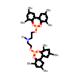 CCN(CCOp1oc2c(C(C)(C)C)cc(C(C)(C)C)cc2c2cc(C(C)(C)C)cc(C(C)(C)C)c2o1)CCOp1oc2c(C(C)(C)C)cc(C(C)(C)C)cc2c2cc(C(C)(C)C)cc(C(C)(C)C)c2o1